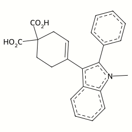 Cn1c(-c2ccccc2)c(C2=CCC(C(=O)O)(C(=O)O)CC2)c2ccccc21